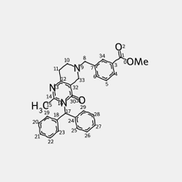 COC(=O)c1cccc(CN2CCc3nc(C)n(C(c4ccccc4)c4ccccc4)c(=O)c3C2)c1